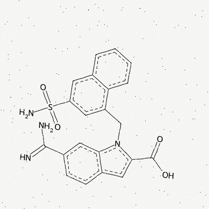 N=C(N)c1ccc2cc(C(=O)O)n(Cc3cc(S(N)(=O)=O)cc4ccccc34)c2c1